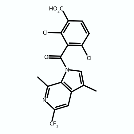 Cc1cn(C(=O)c2c(Cl)ccc(C(=O)O)c2Cl)c2c(C)nc(C(F)(F)F)cc12